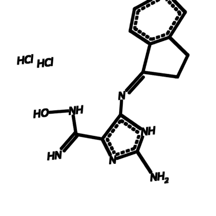 Cl.Cl.N=C(NO)c1nc(N)[nH]c1N=C1CCc2ccccc21